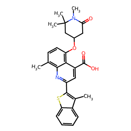 Cc1c(-c2cc(C(=O)O)c3c(OC4CC(=O)N(C)C(C)(C)C4)ccc(C)c3n2)sc2ccccc12